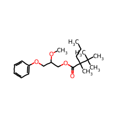 CCCC(C)(C(=O)OCC(COc1ccccc1)OC)C(C)(C)C